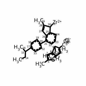 CC1=C2c3sc(C)cc3C1[Si]2(C)C.CCC(C)c1ccc(-c2cccc3c2C=C(C)[CH]3[Zr+2])cc1.[Cl-].[Cl-]